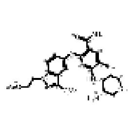 COCCn1nc(OC)c2cc(Nc3nc(N[C@@H]4CCOC[C@@H]4N)c(F)cc3C(N)=O)ccc21